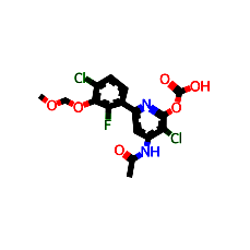 COCOc1c(Cl)ccc(-c2cc(NC(C)=O)c(Cl)c(OC(=O)O)n2)c1F